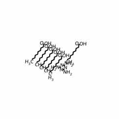 CCCCCCCCCC(=O)O.CCCCCCCCCC(=O)O.CCCCCCCCCC(=O)O.CCCCCCCCCC(=O)O.CCCCCCCCCC(=O)O.CCCCCCCCCC(=O)O.Nc1nc(N)nc(N)n1